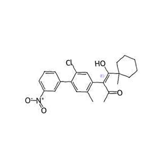 CC(=O)/C(=C(/O)C1(C)CCCCC1)c1cc(Cl)c(-c2cccc([N+](=O)[O-])c2)cc1C